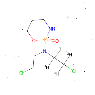 [3H]C([3H])(Cl)C([3H])([3H])N(CCCl)P1(=O)NCCCO1